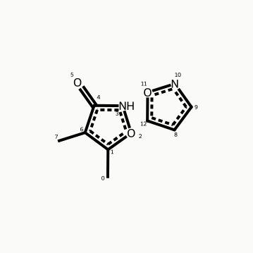 Cc1o[nH]c(=O)c1C.c1cnoc1